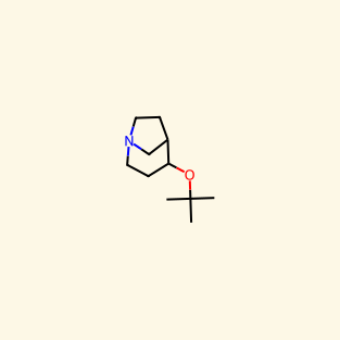 CC(C)(C)OC1CCN2CCC1C2